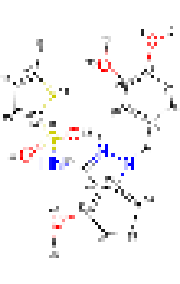 COc1ccc(Cn2nc(NS(=O)(=O)c3ccc(C)s3)c3c(OC)cccc32)cc1OC